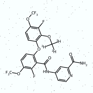 [2H]C([2H])([2H])Oc1c(Oc2ccc(OC(F)(F)F)c(F)c2C(=O)Nc2ccnc(C(N)=O)c2)ccc(OC(F)(F)F)c1F